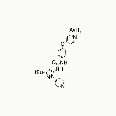 CC(C)(C)c1cc(NC(=O)Nc2ccc(Oc3ccnc([AsH2])c3)cc2)n(-c2ccncc2)n1